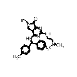 Cc1ccc(C(Nc2nc(NCCN(C)C)nc3c2CN(C(C)C)C3=O)c2ccccc2)cc1